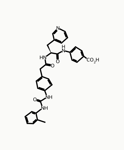 Cc1ccccc1NC(=O)Nc1ccc(CC(=O)N[C@@H](Cc2cccnc2)C(=O)Nc2ccc(C(=O)O)cc2)cc1